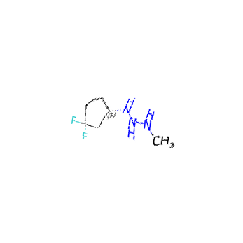 CNNN[C@H]1CCC(F)(F)C1